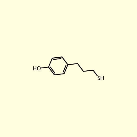 Oc1ccc(CCCS)cc1